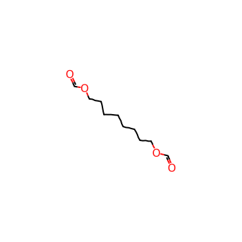 O=COCCCCCCCCOC=O